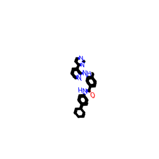 Cc1ccc(C(=O)Nc2ccc(C3CCCCC3)cc2)cc1Nc1ncccc1-c1ccncn1